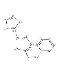 Oc1ccc2ccccc2c1C=Nc1nccs1